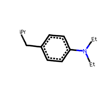 CCN(CC)c1ccc(CC(C)C)cc1